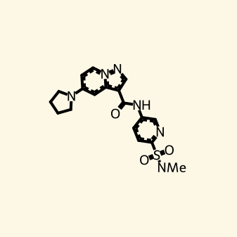 CNS(=O)(=O)c1ccc(NC(=O)c2cnn3ccc(N4CCCC4)cc23)cn1